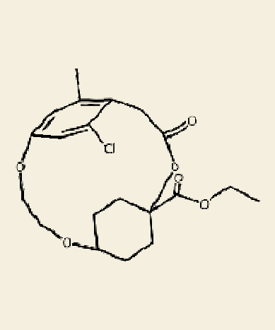 CCOC(=O)C12CCC(CC1)OCCOc1cc(C)c(c(Cl)c1)CC(=O)O2